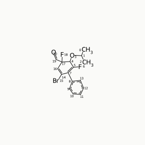 CC(C)OC1C(F)=C(c2ccccc2)C(Br)=CC1(F)C=O